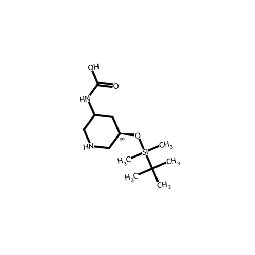 CC(C)(C)[Si](C)(C)O[C@H]1CNCC(NC(=O)O)C1